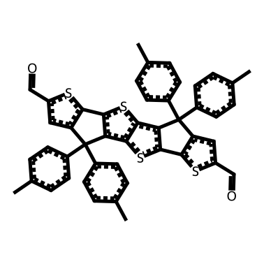 Cc1ccc(C2(c3ccc(C)cc3)c3cc(C=O)sc3-c3sc4c5c(sc4c32)-c2sc(C=O)cc2C5(c2ccc(C)cc2)c2ccc(C)cc2)cc1